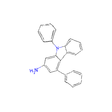 Nc1cc(-c2ccccc2)c2c3ccccc3n(-c3ccccc3)c2c1